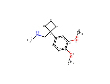 CNCC1(c2ccc(OC)c(OC)c2)CCC1